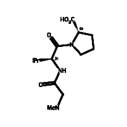 CNCC(=O)N[C@H](C(=O)N1CCC[C@H]1C(=O)O)C(C)C